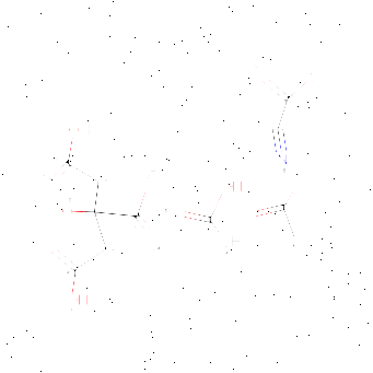 CC(=O)O.CC(=O)O.N#CC(=O)O.O=C(O)CC(O)(CC(=O)O)C(=O)O